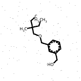 CCC(C)(CC)COCc1cccc(CO)c1